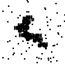 CC(C)CNC(=O)CCNC(=O)C(O)C(C)(C)COP(=O)(O)OP(=O)(O)OCC1OC(n2cnc3c(N)ncnc32)C(O)C1OP(=O)(O)O